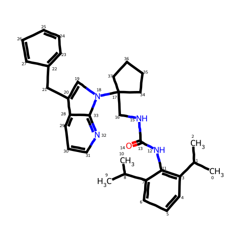 CC(C)c1cccc(C(C)C)c1NC(=O)NCC1(n2cc(Cc3ccccc3)c3cccnc32)CCCC1